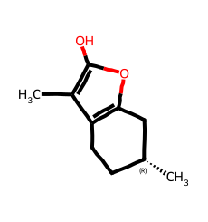 Cc1c(O)oc2c1CC[C@@H](C)C2